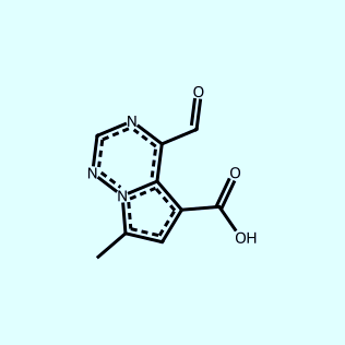 Cc1cc(C(=O)O)c2c(C=O)ncnn12